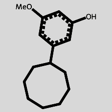 COc1cc(O)cc(C2CCCCCCC2)c1